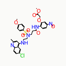 COC(=O)COc1cc(N=O)ccc1NC(=O)CCN(CCNc1cc(C)nc2ccc(Cl)cc12)S(=O)(=O)c1ccc(OC)cc1